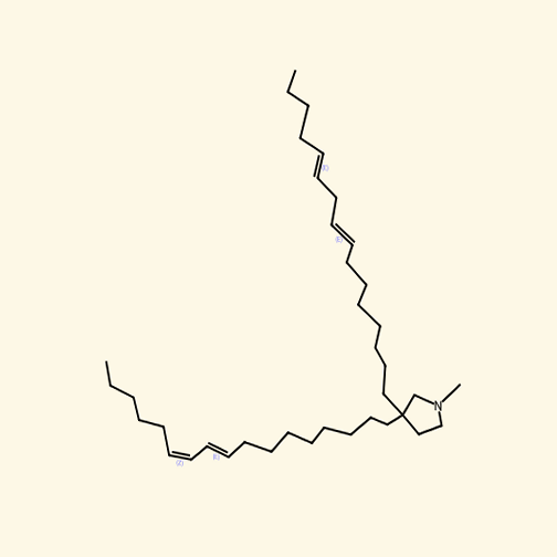 CCCC/C=C/C/C=C/CCCCCCCC1(CCCCCCCC/C=C/C=C\CCCCC)CCN(C)C1